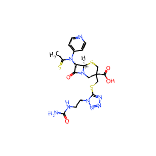 CC(=S)N(c1ccncc1)C1C(=O)N2CC(CSc3nnnn3CCNC(N)=O)(C(=O)O)CS[C@H]12